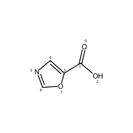 O=C(O)c1[c]nco1